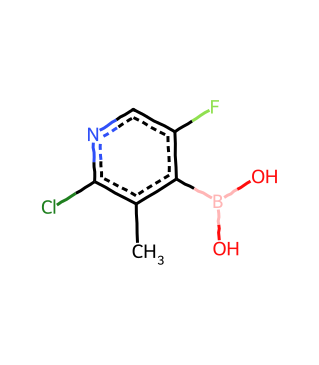 Cc1c(Cl)ncc(F)c1B(O)O